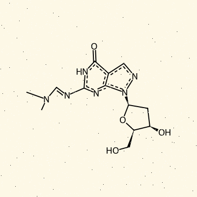 CN(C)/C=N/c1nc2c(cnn2[C@H]2C[C@@H](O)[C@@H](CO)O2)c(=O)[nH]1